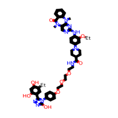 CCOc1cc(N2CCC(C(=O)NCCOCCOCCOc3ccc(-n4c(O)nnc4-c4cc(CC)c(O)cc4O)cc3)CC2)ccc1Nc1ncc2c(n1)N(C)c1ccccc1C(=O)N2C